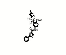 COc1ncc(NC(=O)c2csc(-c3ccccc3)n2)cc1S(=O)(=O)Nc1cc(C)no1